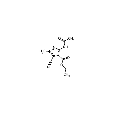 CCOC(=O)c1c(NC(C)=O)nn(C)c1C#N